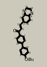 CC(C)COc1ccc(-c2ccc(C(=O)/C=C/c3ccc4nccnc4c3)cc2)cc1